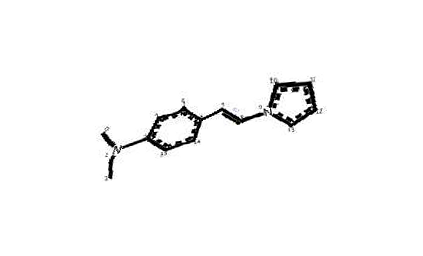 CN(C)c1ccc(/C=C/n2cccc2)cc1